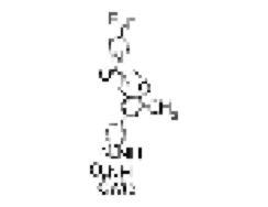 COC(=O)Nc1nc2ccc(-c3cc(C)c4c(c3)CN(C(=O)N3CCC(C(F)F)CC3)CCO4)cc2[nH]1